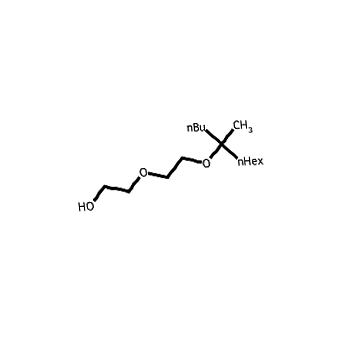 CCCCCCC(C)(CCCC)OCCOCCO